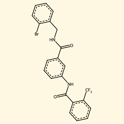 O=C(NCc1ccccc1Br)c1cccc(NC(=O)c2ccccc2C(F)(F)F)c1